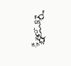 CCOCc1nc2c(N)ncc(C)c2n1CCCCC[S+]([O-])c1ccc(F)cc1F